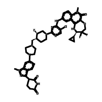 Cn1nc(C2CCC(=O)NC2=O)c2ccc(N3CCN(C[C@H]4CCN(c5ncc(Cl)c(Nc6ccc7c(c6)c6c(c(=O)n7C)OCC(F)(F)[C@H](C7CC7)N6)n5)C[C@H]4F)CC3)cc21